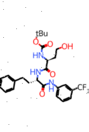 CC(C)(C)OC(=O)N[C@@H](CCO)C(=O)N[C@@H](CCc1ccccc1)C(=O)Nc1cccc(C(F)(F)F)c1